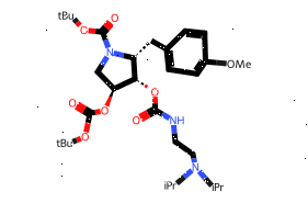 COc1ccc(C[C@@H]2[C@H](OC(=O)NCCN(C(C)C)C(C)C)[C@@H](OC(=O)OC(C)(C)C)CN2C(=O)OC(C)(C)C)cc1